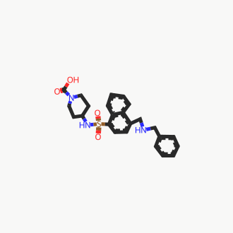 O=C(O)N1CCC(NS(=O)(=O)c2ccc(CNCc3ccccc3)c3ccccc23)CC1